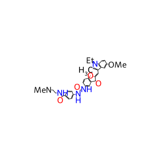 CCn1c(C)c(C=C2Oc3ccc(NC(=O)Nc4ccc(C(=O)NCCNC)cc4)cc3C2=O)c2cc(OC)ccc21